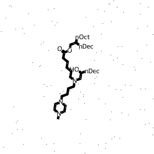 CCCCCCCCCCC(O)CN(CCCCCC(=O)OCC(CCCCCCCC)CCCCCCCCCC)CCCCN1CCN(C)CC1